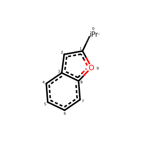 C[C](C)c1cc2ccccc2o1